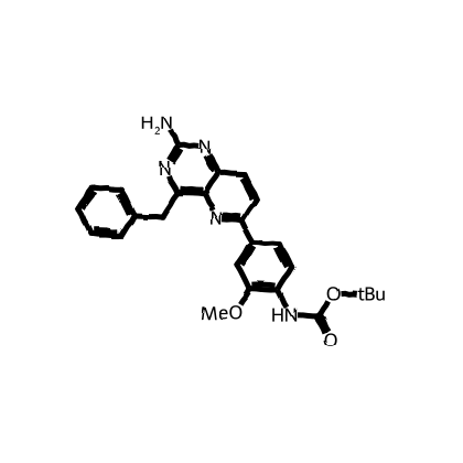 COc1cc(-c2ccc3nc(N)nc(Cc4ccccc4)c3n2)ccc1NC(=O)OC(C)(C)C